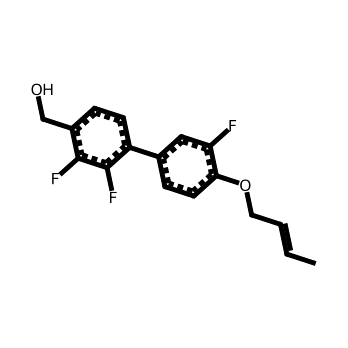 CC=CCOc1ccc(-c2ccc(CO)c(F)c2F)cc1F